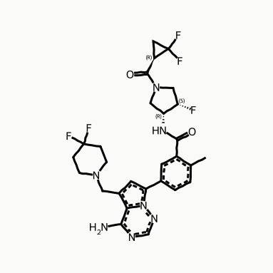 Cc1ccc(-c2cc(CN3CCC(F)(F)CC3)c3c(N)ncnn23)cc1C(=O)N[C@@H]1CN(C(=O)[C@H]2CC2(F)F)C[C@@H]1F